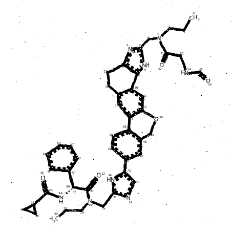 CCCN(Cc1nc2c([nH]1)-c1cc3c(cc1CC2)-c1ccc(-c2cnc(CN(CCC)C(=O)[C@H](NC(=O)C4CC4)c4ccccc4)[nH]2)cc1CO3)C(=O)CNC=O